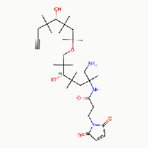 C#CCC(C)(C)C(O)C(C)(C)CC(C)(C)OCC(C)(C)[C@@H](O)C(C)(C)CC(C)(CN)NC(=O)CCN1C(=O)C=CC1=O